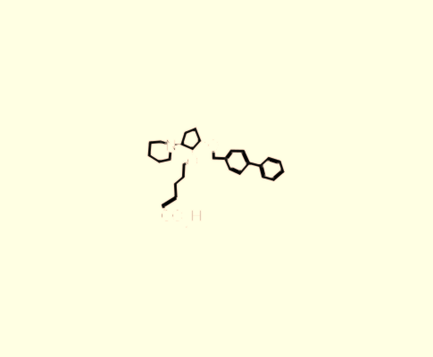 O=C(O)/C=C/CCCO[C@H]1[C@@H](OCc2ccc(-c3ccccc3)cc2)CC[C@@H]1N1CCCCC1